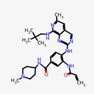 C=CC(=O)Nc1cc(C(=O)NC2CCN(C)CC2)ccc1Nc1ncc2cc(C)nc(NCC(C)(C)C)c2n1